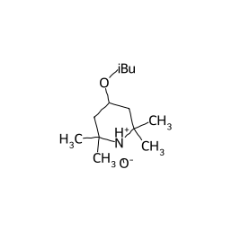 CCC(C)OC1CC(C)(C)[NH+]([O-])C(C)(C)C1